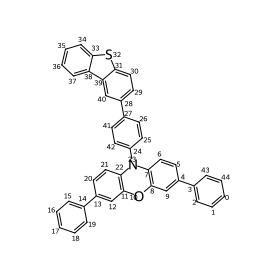 c1ccc(-c2ccc3c(c2)Oc2cc(-c4ccccc4)ccc2N3c2ccc(-c3ccc4sc5ccccc5c4c3)cc2)cc1